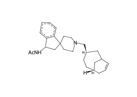 CC(=O)NC1CC2(CCN(C[C@@H]3CC[C@H]4CC=CC(C4)C3)CC2)c2ccccc21